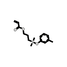 C=CC(=O)OCCC[Si](C)(C)Oc1cccc(C)c1